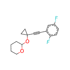 Fc1ccc(F)c(C#CC2(OC3CCCCO3)CC2)c1